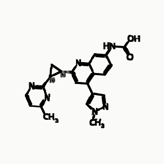 Cc1ccnc([C@H]2C[C@@H]2c2cc(-c3cnn(C)c3)c3ccc(NC(=O)O)cc3n2)n1